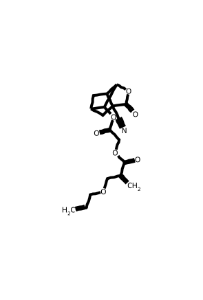 C=CCOCC(=C)C(=O)OCC(=O)OC1C2CC3C1OC(=O)C3(C#N)C2